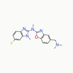 CN(C)Cc1ccc2oc(N(C)c3nc4ccc(F)cc4n3C)nc2c1